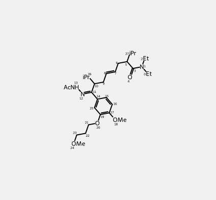 CCN(CC)C(=O)C(C/C=C/CC(C(=NNC(C)=O)c1ccc(OC)c(OCCCOC)c1)C(C)C)C(C)C